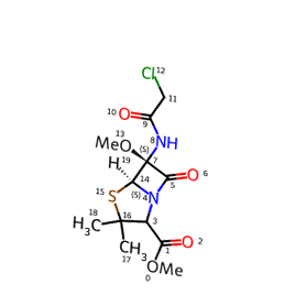 COC(=O)C1N2C(=O)[C@](NC(=O)CCl)(OC)[C@@H]2SC1(C)C